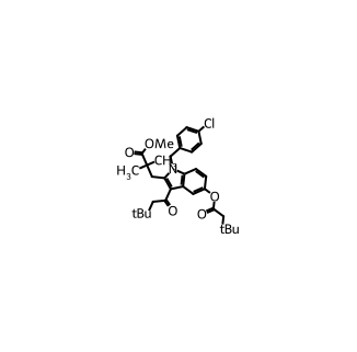 COC(=O)C(C)(C)Cc1c(C(=O)CC(C)(C)C)c2cc(OC(=O)CC(C)(C)C)ccc2n1Cc1ccc(Cl)cc1